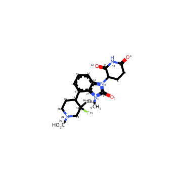 Cn1c(=O)n(C2CCC(=O)NC2=O)c2cccc(C3CCN(C(=O)O)CC3(F)C(C)(C)C)c21